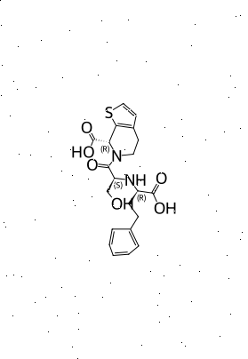 O=C(O)[C@@H]1c2sccc2CCN1C(=O)[C@H](CO)N[C@H](CCc1ccccc1)C(=O)O